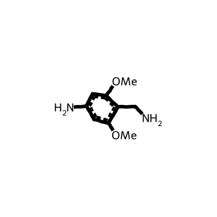 COc1cc(N)cc(OC)c1CN